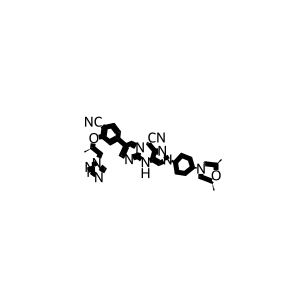 C[C@@H]1CN([C@H]2CC[C@H](n3cc(Nc4ncc(-c5ccc(C#N)c(O[C@@H](C)Cn6cnnn6)c5)cn4)c(CC#N)n3)CC2)C[C@H](C)O1